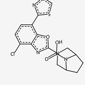 O=C(O)N1C2CCC1CN(c1nc3c(Cl)ccc(-c4nccs4)c3o1)C2